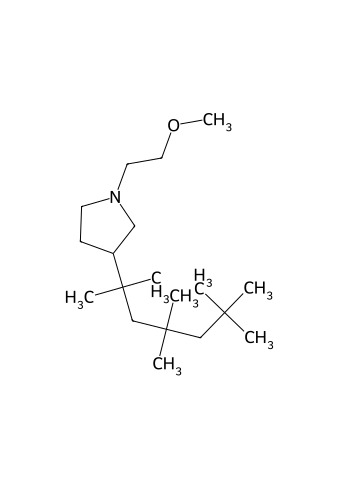 COCCN1CCC(C(C)(C)CC(C)(C)CC(C)(C)C)C1